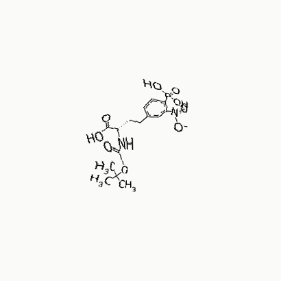 CC(C)(C)OC(=O)N[C@@H](CCc1ccc(P(=O)(O)O)c([N+](=O)[O-])c1)C(=O)O